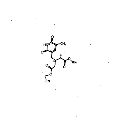 Cc1cn(C[C@H](CC(=O)OCC#N)NC(=O)OC(C)(C)C)c(=O)[nH]c1=O